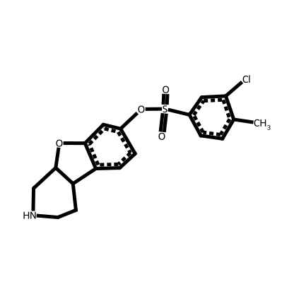 Cc1ccc(S(=O)(=O)Oc2ccc3c(c2)OC2CNCCC32)cc1Cl